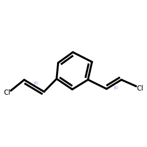 Cl/C=C/c1cccc(/C=C/Cl)c1